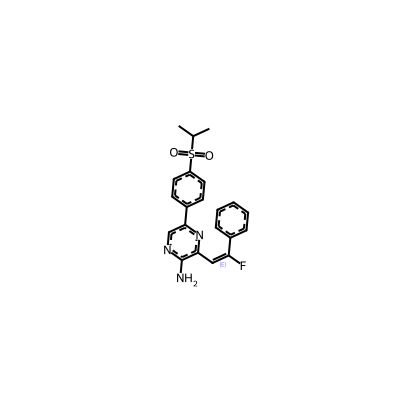 CC(C)S(=O)(=O)c1ccc(-c2cnc(N)c(/C=C(/F)c3ccccc3)n2)cc1